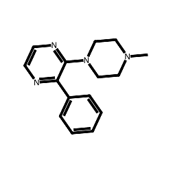 CN1CCN(c2nccnc2-c2ccccc2)CC1